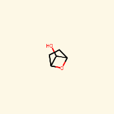 OC1C2CCC1O2